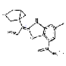 N=C/C(=C1/Nc2cc(F)cc(C(N)=O)c2N1)C12CNCC1C2